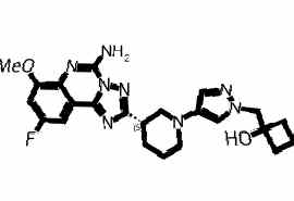 COc1cc(F)cc2c1nc(N)n1nc([C@H]3CCCN(c4cnn(CC5(O)CCC5)c4)C3)nc21